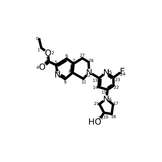 CCOC(=O)c1cc2c(cn1)CN(c1cc(N3CCC(O)C3)cc(F)n1)CC2